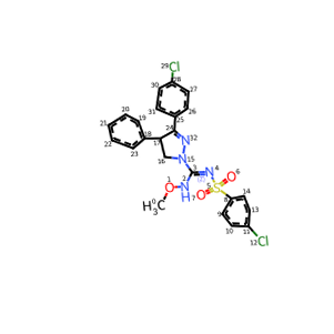 CON/C(=N\S(=O)(=O)c1ccc(Cl)cc1)N1CC(c2ccccc2)C(c2ccc(Cl)cc2)=N1